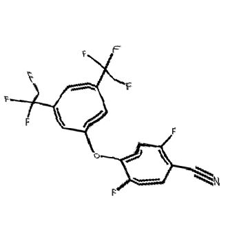 N#Cc1cc(F)c(Oc2cc(C(F)(F)F)cc(C(F)(F)F)c2)cc1F